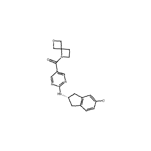 O=C(c1cnc(N[C@H]2Cc3ccc(Cl)cc3C2)nc1)N1CCC12COC2